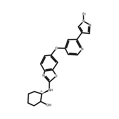 CCn1cc(-c2cc(Oc3ccc4nc(N[C@@H]5CCCCC5O)sc4c3)ccn2)cn1